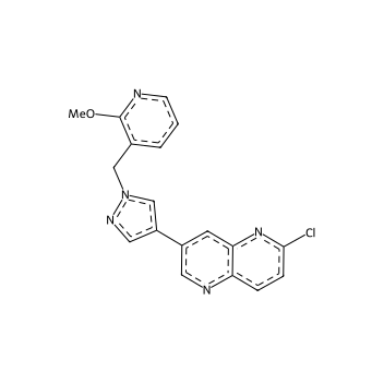 COc1ncccc1Cn1cc(-c2cnc3ccc(Cl)nc3c2)cn1